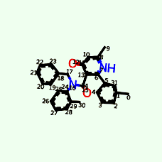 Cc1cccc(-c2[nH]c(C)cc(=O)c2C(=O)N(Cc2ccccc2)c2ccccc2C)c1